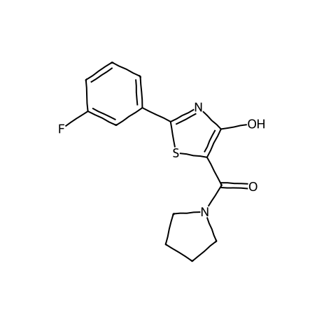 O=C(c1sc(-c2cccc(F)c2)nc1O)N1CCCC1